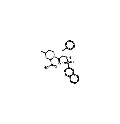 CC1CCN(C(=O)[C@H](Cc2ccccc2)NS(=O)(=O)c2ccc3ccccc3c2)C(C(=O)O)C1